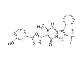 Cc1[nH]c2c(-c3ccccc3)c(C(F)(F)F)nn2c(=O)c1-c1nnc(-c2ccnc(O)c2)o1